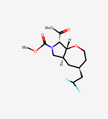 COC(=O)[C@@H]1[C@@H]2OCC[C@@H](CC(F)F)C[C@H]2CN1C(=O)OC(C)(C)C